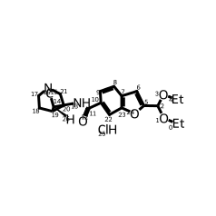 CCOC(OCC)c1cc2ccc(C(=O)N[C@H]3CN4CCC3CC4)cc2o1.Cl